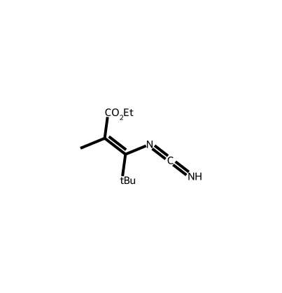 CCOC(=O)C(C)=C(N=C=N)C(C)(C)C